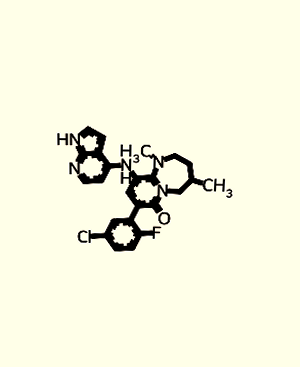 CC1CCN(C)c2c(Nc3ccnc4[nH]ccc34)cc(-c3cc(Cl)ccc3F)c(=O)n2C1